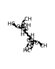 C#CCOCC(CO)(COCC#C)NC(=O)CCCCC(=O)NC(COCC#C)(COCC#C)COCC#C